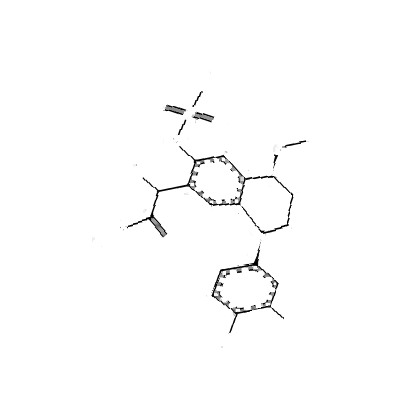 CN[C@H]1CC[C@@H](c2ccc(Cl)c(Cl)c2)c2cc(C(C)C(N)=O)c(NS(C)(=O)=O)cc21.Cl